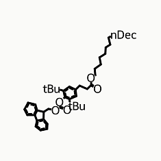 CCCCCCCCCCCCCCCCCCOC(=O)CCc1cc(C(C)(C)C)c(OC(=O)OCC2c3ccccc3-c3ccccc32)c(C(C)(C)C)c1